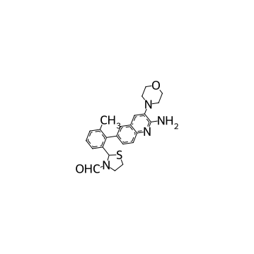 Cc1cccc(C2SCCN2C=O)c1-c1ccc2nc(N)c(N3CCOCC3)cc2c1